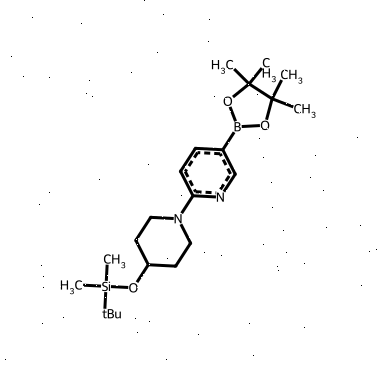 CC1(C)OB(c2ccc(N3CCC(O[Si](C)(C)C(C)(C)C)CC3)nc2)OC1(C)C